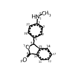 CNc1ccc(C2OC(=O)c3ccccc32)cc1